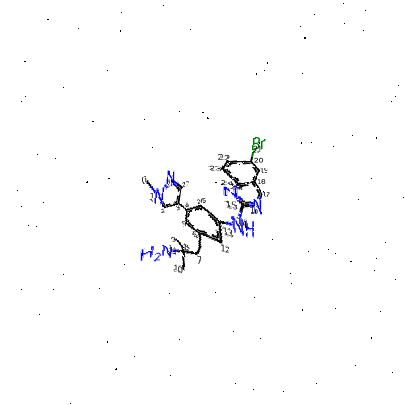 Cn1cc(-c2cc(CC(C)(C)N)cc(Nc3ncc4cc(Br)ccc4n3)c2)cn1